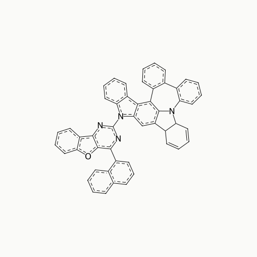 C1=CC2c3cc4c(c5c3N(c3ccccc3-c3ccccc3-5)C2C=C1)c1ccccc1n4-c1nc(-c2cccc3ccccc23)c2oc3ccccc3c2n1